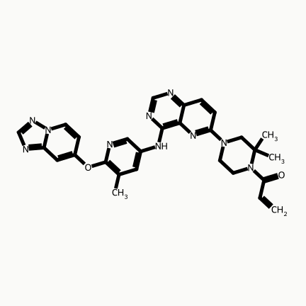 C=CC(=O)N1CCN(c2ccc3ncnc(Nc4cnc(Oc5ccn6ncnc6c5)c(C)c4)c3n2)CC1(C)C